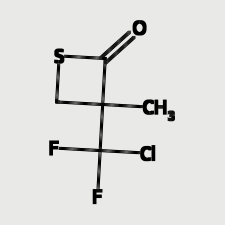 CC1(C(F)(F)Cl)CSC1=O